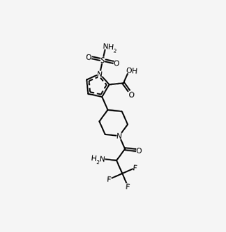 NC(C(=O)N1CCC(c2ccn(S(N)(=O)=O)c2C(=O)O)CC1)C(F)(F)F